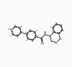 O=C(NC1COCc2ccccc21)c1ccc(-c2ccncc2)cc1